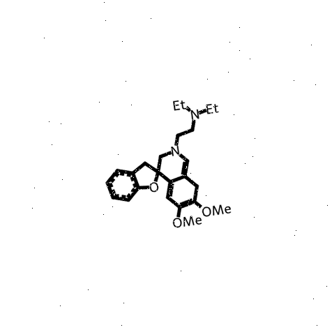 CCN(CC)CCN1C=C2CC(OC)=C(OC)C=C2C2(Cc3ccccc3O2)C1